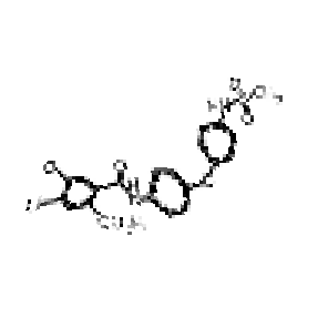 CS(=O)(=O)Nc1ccc(Oc2ccc(NC(=O)c3cc(Cl)c(Cl)cc3C(=O)O)cc2)cc1